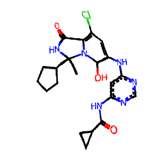 CC1(C2CCCC2)NC(=O)C2=C(Cl)C=C(Nc3cc(NC(=O)C4CC4)ncn3)C(O)N21